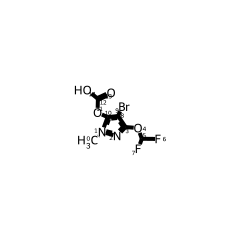 Cn1nc(OC(F)F)c(Br)c1OC(=O)O